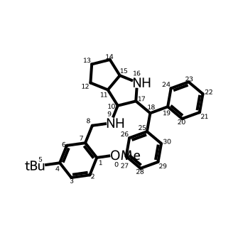 COc1ccc(C(C)(C)C)cc1CNC1C2CCCC2NC1C(c1ccccc1)c1ccccc1